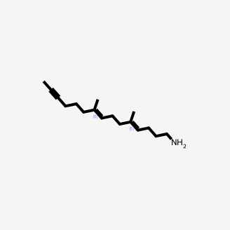 CC#CCCC/C(C)=C/CC/C(C)=C/CCCN